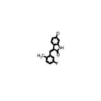 Cc1ccc(F)cc1/C=C1\C(=O)Nc2cc(Cl)ccc21